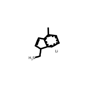 Cc1cccc2c1C=CC2C[SiH3].[Li]